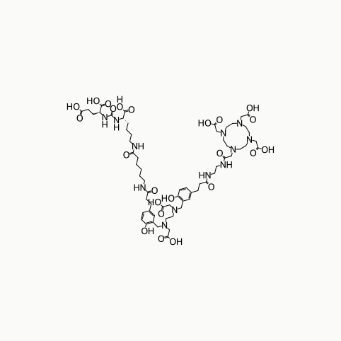 O=C(O)CC[C@H](NC(=O)N[C@@H](CCCCNC(=O)CCCCCNC(=O)CCc1ccc(O)c(CN(CCN(CC(=O)O)Cc2cc(CCC(=O)NCCNC(=O)CN3CCN(CC(=O)O)CCN(CC(=O)O)CCN(CC(=O)O)CC3)ccc2O)CC(=O)O)c1)C(=O)O)C(=O)O